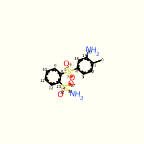 Cc1ccc(S(=O)(=O)c2ccccc2S(N)(=O)=O)cc1N